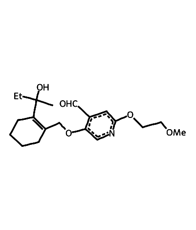 CCC(C)(O)C1=C(COc2cnc(OCCOC)cc2C=O)CCCC1